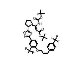 CC(C)(C)OC(=O)/N=C(\NC(=O)OC(C)(C)C)N1CCC[C@H]1c1nc(-c2ccc(OC/C=C\c3ccc(C(F)(F)F)cc3)c(C(F)(F)F)c2)no1